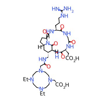 CCN1CCN(CC)CCN(CC(=O)NC[C@@H]2C[C@@H]3CC[C@H]4C(=O)N[C@@H](CCCNC(=N)N)C(=O)NCC(=O)N[C@@H](CC(=O)O)C(=O)N[C@H]2C(=O)N34)CCN(CC(=O)O)CC1